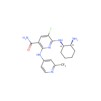 NC(=O)c1cc(F)c(N[C@@H]2CCCC[C@@H]2N)nc1Nc1ccnc(C(F)(F)F)c1